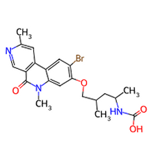 Cc1cc2c(cn1)c(=O)n(C)c1cc(OCC(C)CC(C)NC(=O)O)c(Br)cc21